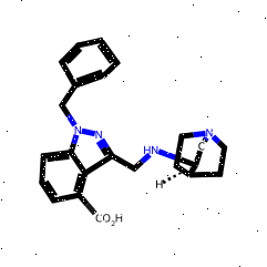 O=C(O)c1cccc2c1c(CN[C@H]1CN3CCC1CC3)nn2Cc1ccccc1